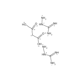 N=C(N)NN.N=C(N)NN.O=C(O)CC(=O)O